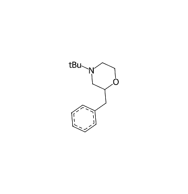 CC(C)(C)N1CCOC(Cc2ccccc2)C1